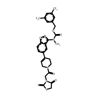 CN(C(=O)OCc1cc(C(F)(F)F)cc(C(F)(F)F)c1)c1noc2ccc(C3=CCN(C(=O)CN4C(=O)CSC4=S)CC3)cc12